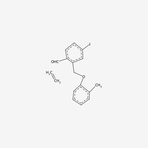 C=C.Cc1ccccc1OCc1cc(I)ccc1C=O